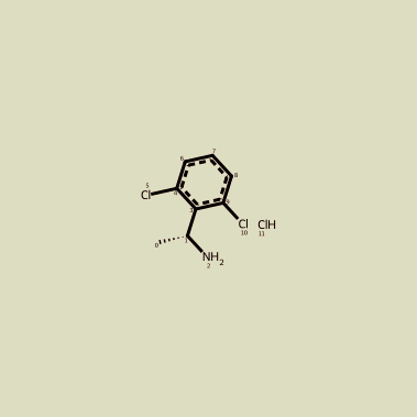 C[C@@H](N)c1c(Cl)cccc1Cl.Cl